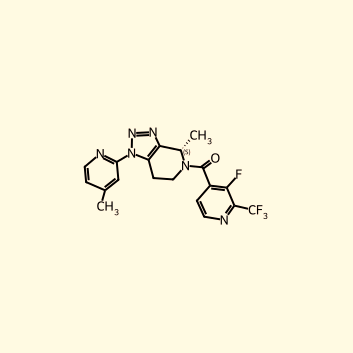 Cc1ccnc(-n2nnc3c2CCN(C(=O)c2ccnc(C(F)(F)F)c2F)[C@H]3C)c1